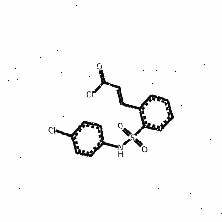 O=C(Cl)C=Cc1ccccc1S(=O)(=O)Nc1ccc(Cl)cc1